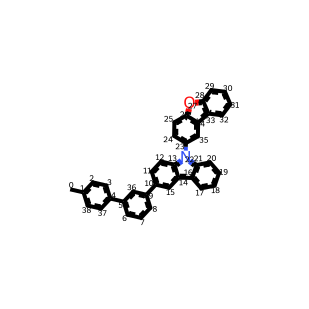 Cc1ccc(-c2cccc(-c3ccc4c(c3)c3ccccc3n4-c3ccc4oc5ccccc5c4c3)c2)cc1